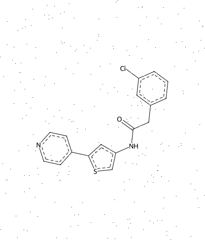 O=C(Cc1cccc(Cl)c1)Nc1csc(-c2ccncc2)c1